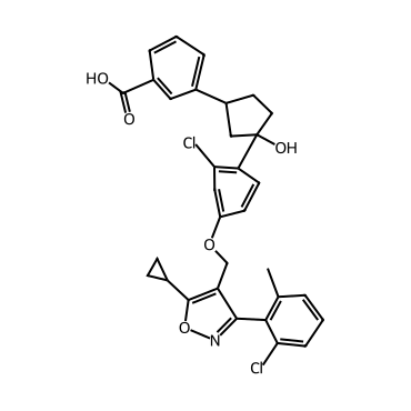 Cc1cccc(Cl)c1-c1noc(C2CC2)c1COc1ccc(C2(O)CCC(c3cccc(C(=O)O)c3)C2)c(Cl)c1